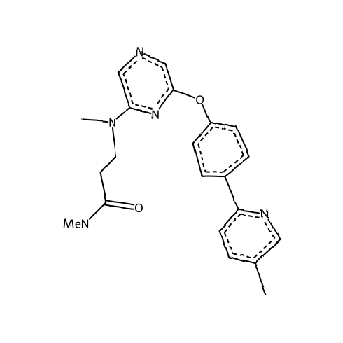 CNC(=O)CCN(C)c1cncc(Oc2ccc(-c3ccc(C)cn3)cc2)n1